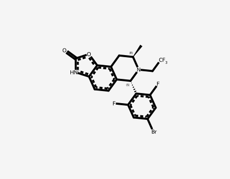 C[C@@H]1Cc2c(ccc3[nH]c(=O)oc23)[C@@H](c2c(F)cc(Br)cc2F)N1CC(F)(F)F